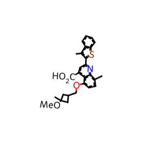 COC1(C)CC(COc2ccc(C)c3nc(-c4sc5ccccc5c4C)cc(C(=O)O)c23)C1